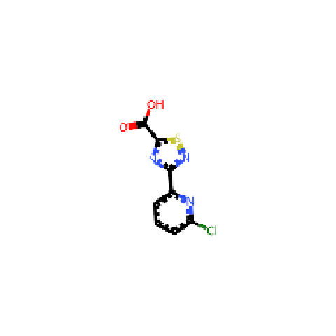 O=C(O)c1nc(-c2cccc(Cl)n2)ns1